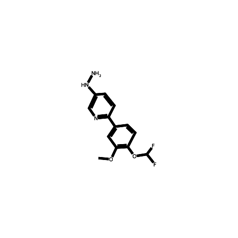 COc1cc(-c2ccc(NN)cn2)ccc1OC(F)F